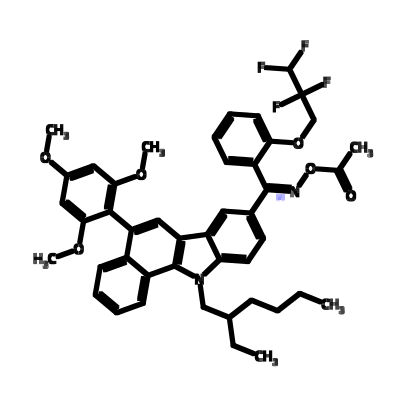 CCCCC(CC)Cn1c2ccc(/C(=N/OC(C)=O)c3ccccc3OCC(F)(F)C(F)F)cc2c2cc(-c3c(OC)cc(OC)cc3OC)c3ccccc3c21